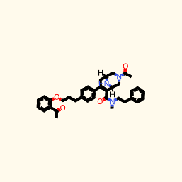 CC(=O)c1ccccc1OCCCc1ccc(C2=C(C(=O)N(C)CCc3ccccc3)[C@H]3CN(C(C)=O)C[C@@H](C2)N3)cc1